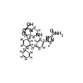 Cc1nc(C(N)=O)nn1-c1ccc(Cc2cc(C(=O)C3CNCCN3C(=O)O)ccc2-c2ccccc2)cc1